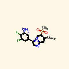 COc1cc2ncc(-c3cc(N)c(F)c(F)c3)n2cc1S(=O)(=O)C(C)(C)C